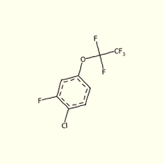 Fc1cc(OC(F)(F)C(F)(F)F)ccc1Cl